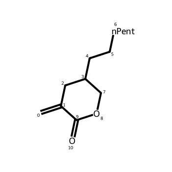 C=C1CC(CCCCCCC)COC1=O